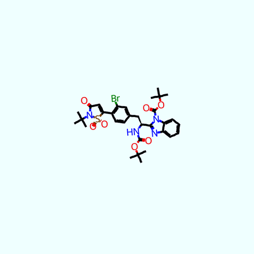 CC(C)(C)OC(=O)N[C@@H](Cc1ccc(C2=CC(=O)N(C(C)(C)C)S2(=O)=O)c(Br)c1)c1nc2ccccc2n1C(=O)OC(C)(C)C